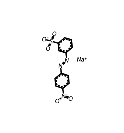 O=[N+]([O-])c1ccc(N=Nc2cccc(S(=O)(=O)[O-])c2)cc1.[Na+]